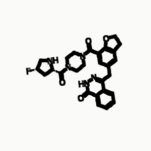 O=C(c1cc(Cc2n[nH]c(=O)c3ccccc23)cc2c1OCC2)N1CCN(C(=O)[C@@H]2C[C@H](F)CN2)CC1